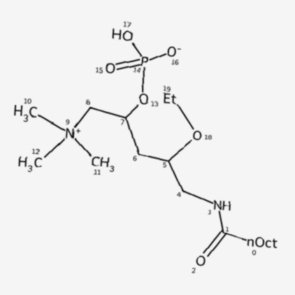 CCCCCCCCC(=O)NCC(CC(C[N+](C)(C)C)OP(=O)([O-])O)OCC